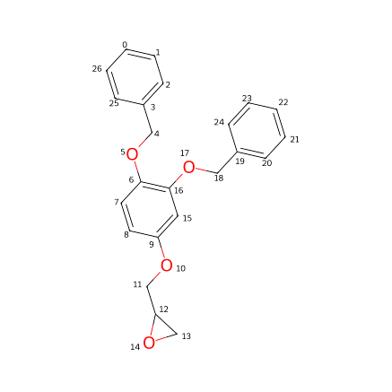 c1ccc(COc2ccc(OCC3CO3)cc2OCc2ccccc2)cc1